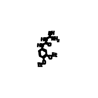 CCOc1ccc(NC(=O)NC(=N)N)cc1OCC